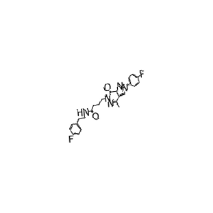 Cc1nn(CCCC(=O)NCCc2ccc(F)cc2)c(=O)c2nn(-c3ccc(F)cc3)cc12